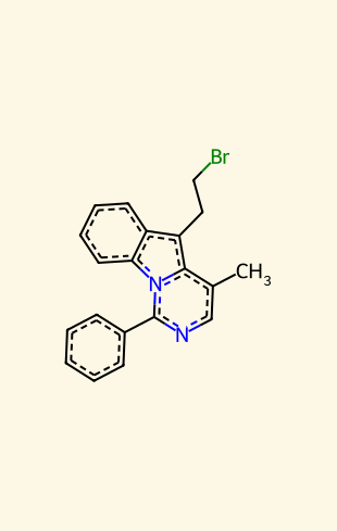 Cc1cnc(-c2ccccc2)n2c1c(CCBr)c1ccccc12